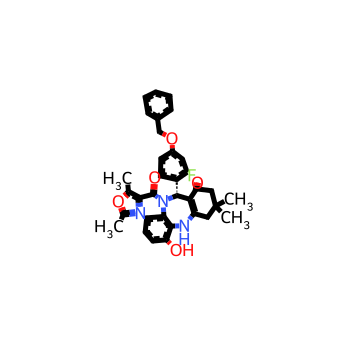 Cc1nc(C(=O)N2c3cccc(O)c3NC3=C(C(=O)CC(C)(C)C3)[C@H]2c2ccc(OCc3ccccc3)cc2F)c(C)o1